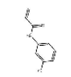 C=CC(=O)Nc1cccc(Cl)c1